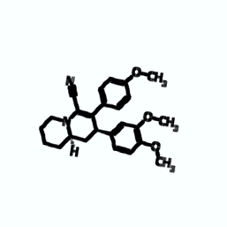 COc1ccc(C2=C(C#N)N3CCCC[C@@H]3C[C@@H]2c2ccc(OC)c(OC)c2)cc1